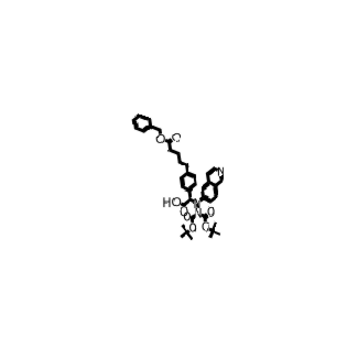 CC(C)(C)OC(=O)N(C(=O)OC(C)(C)C)N(c1ccc2cnccc2c1)C(C(=O)O)c1ccc(CCCCC(=O)OCc2ccccc2)cc1